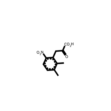 Cc1ccc([N+](=O)[O-])c(CC(=O)C(=O)O)c1C